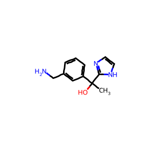 CC(O)(c1cccc(CN)c1)c1ncc[nH]1